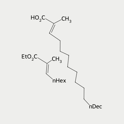 CCCCCCC=C(C)C(=O)OCC.CCCCCCCCCCCCCCCCCCC=C(C)C(=O)O